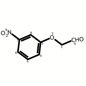 O=CCOc1cccc([N+](=O)[O-])c1